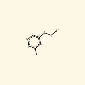 Cc1cccc(CCI)c1